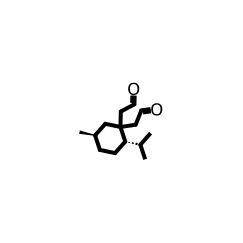 CC(C)[C@@H]1CC[C@@H](C)CC1(CC=O)CC=O